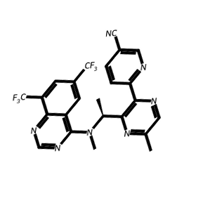 Cc1cnc(-c2ccc(C#N)cn2)c([C@H](C)N(C)c2ncnc3c(C(F)(F)F)cc(C(F)(F)F)cc23)n1